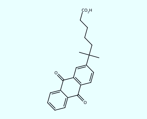 CC(C)(CCCCC(=O)O)c1ccc2c(c1)C(=O)c1ccccc1C2=O